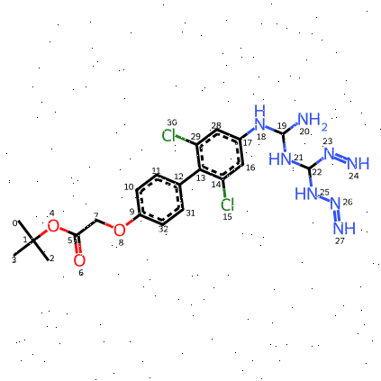 CC(C)(C)OC(=O)COc1ccc(-c2c(Cl)cc(NC(N)NC(N=N)NN=N)cc2Cl)cc1